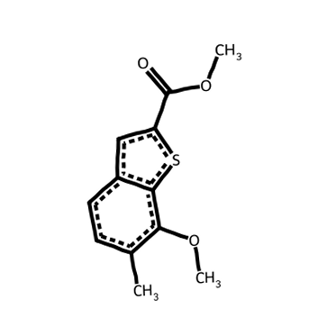 COC(=O)c1cc2ccc(C)c(OC)c2s1